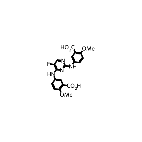 COc1ccc(Nc2ncc(F)c(Nc3ccc(OC)c(C(=O)O)c3)n2)cc1C(=O)O